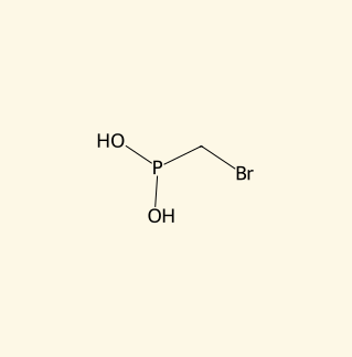 OP(O)CBr